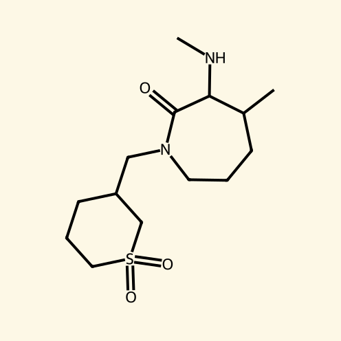 CNC1C(=O)N(CC2CCCS(=O)(=O)C2)CCCC1C